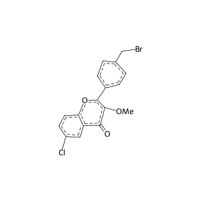 COc1c(-c2ccc(CBr)cc2)oc2ccc(Cl)cc2c1=O